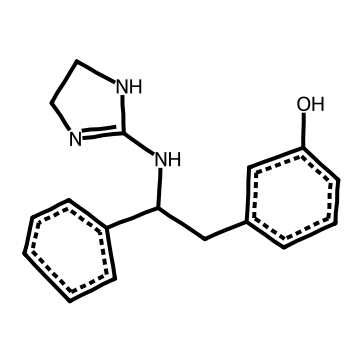 Oc1cccc(CC(NC2=NCCN2)c2ccccc2)c1